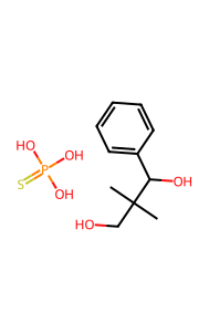 CC(C)(CO)C(O)c1ccccc1.OP(O)(O)=S